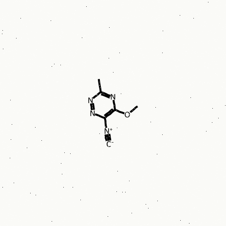 [C-]#[N+]c1nnc(C)nc1OC